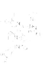 Cc1nnc(-c2c(CCN3CCCCC3)nc(CC(C)C)c(C(N)=O)c2-c2ccc(C(=O)NCc3ccc(F)c(F)c3)s2)o1